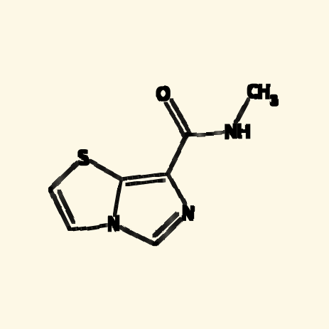 CNC(=O)c1ncn2ccsc12